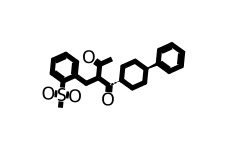 CC(=O)C(Cc1ccccc1S(C)(=O)=O)C(=O)[C@H]1CC[C@H](c2ccccc2)CC1